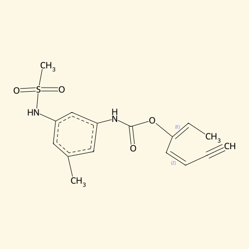 C#C/C=C\C(=C/C)OC(=O)Nc1cc(C)cc(NS(C)(=O)=O)c1